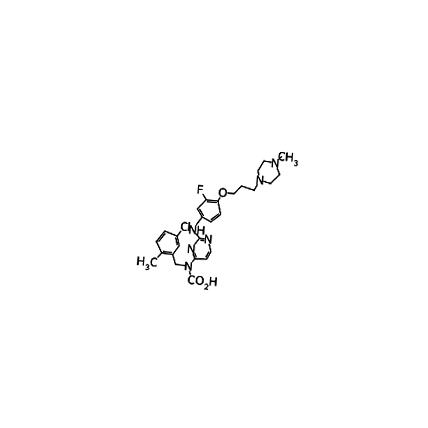 Cc1ccc(Cl)cc1CN(C(=O)O)c1ccnc(Nc2ccc(OCCCN3CCN(C)CC3)c(F)c2)n1